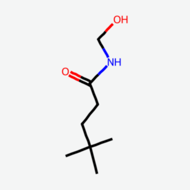 CC(C)(C)CCC(=O)NCO